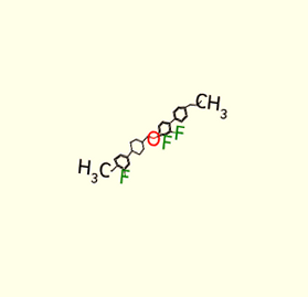 CCCc1ccc(-c2ccc(OCC3CCC(c4ccc(CC)c(F)c4)CC3)c(F)c2F)cc1